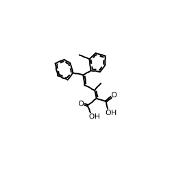 CC(C=C(c1ccccc1)c1ccccc1C)=C(C(=O)O)C(=O)O